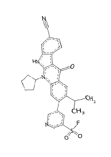 CC(C)c1cc2c(=O)c3c4ccc(C#N)cc4[nH]c3n(C3CCCC3)c2cc1-c1cncc(S(=O)(=O)F)c1